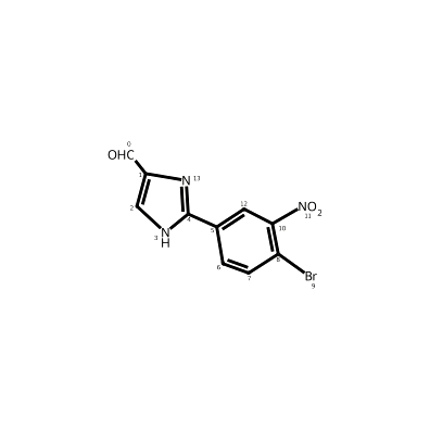 O=Cc1c[nH]c(-c2ccc(Br)c([N+](=O)[O-])c2)n1